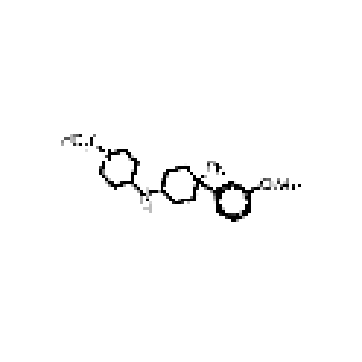 COc1cccc([C@]2(C#N)CC[C@@H](NC3CCN(C(=O)O)CC3)CC2)c1